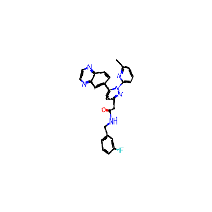 Cc1cccc(-n2nc(CC(=O)NCc3cccc(F)c3)cc2-c2ccc3nccnc3c2)n1